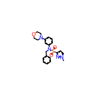 Cn1ccc(S(=O)(=O)N(Cc2ccccc2)c2cccc(N3CCOCC3)c2)n1